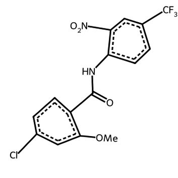 COc1cc(Cl)ccc1C(=O)Nc1ccc(C(F)(F)F)cc1[N+](=O)[O-]